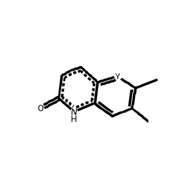 CC1=[C](C)[Y]=[c]2ccc(=O)[nH]c2=C1